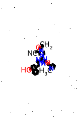 C=CC(=O)N1CCN(c2nc(OCC3CCCN3C)nn3c(Cc4ccc(O)c5ccccc45)cnc23)CC1CC#N